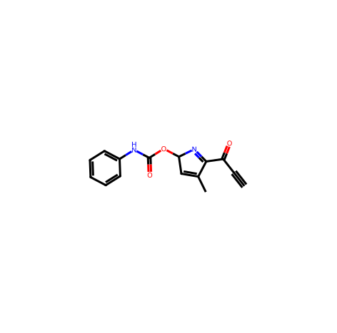 C#CC(=O)C1=NC(OC(=O)Nc2ccccc2)C=C1C